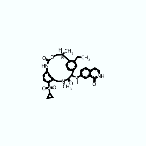 CCc1cc2ccc1[C@@H](C)COC(=O)Nc1ccc(S(=O)(=O)C3CC3)c(c1)CN(C)C(=O)C2Nc1ccc2cc[nH]c(=O)c2c1